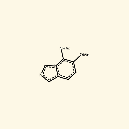 COc1ccc2cncn2c1NC(C)=O